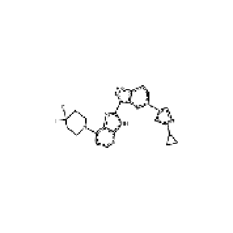 FC1(F)CCN(c2ccnc3[nH]c(-c4n[nH]c5ccc(-c6cnn(C7CC7)c6)cc45)nc23)CC1